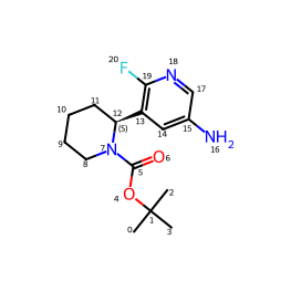 CC(C)(C)OC(=O)N1CCCC[C@H]1c1cc(N)cnc1F